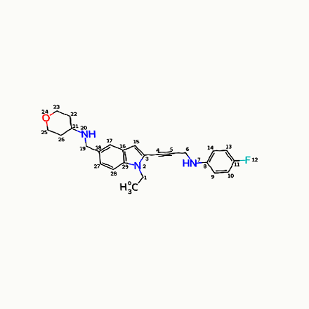 CCn1c(C#CCNc2ccc(F)cc2)cc2cc(CNC3CCOCC3)ccc21